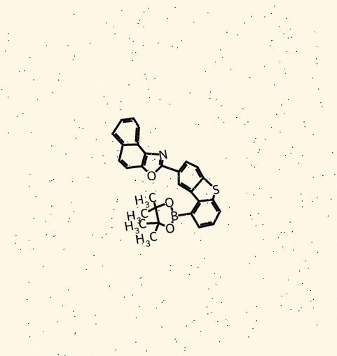 CC1(C)OB(c2cccc3sc4ccc(-c5nc6c(ccc7ccccc76)o5)cc4c23)OC1(C)C